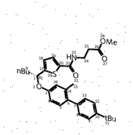 CCCC[C@@H](Oc1ccc(-c2ccc(C(C)(C)C)cc2)c(C)c1)c1ccc(C(=O)NCCC(=O)OC)s1